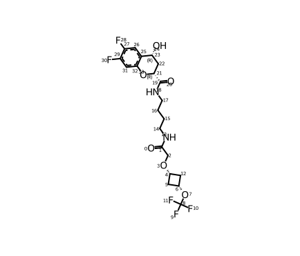 O=C(CO[C@H]1C[C@@H](OC(F)(F)F)C1)NCCCCNC(=O)[C@H]1C[C@@H](O)c2cc(F)c(F)cc2O1